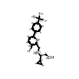 OC[C@H](NCc1nc(-c2ccc(C(F)(F)F)cc2)ccc1F)C1CC1